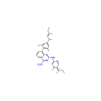 CC/C(C)=C/C(C)c1cc(C)c(-c2cccc3c(N)nc(NC4=CN(C)/C(=C(\C)CC)C=N4)nc23)c(C)c1